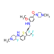 COc1cc(C(=O)N2CCN(C)CC2)ccc1NCC#Cc1sc2c(NC3CCN(C)CC3F)cccc2c1CC(F)(F)F